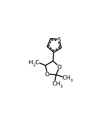 [CH2]C1OC(C)(C)OC1c1ccsc1